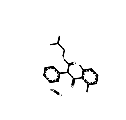 Cc1cccc(C)c1C(=O)C(C(=O)OCC(C)C)c1ccccc1.O=P